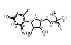 O=c1cc(I)n([C@H]2O[C@@H](COP(=O)(O)O)C(O)C2O)c(=O)[nH]1